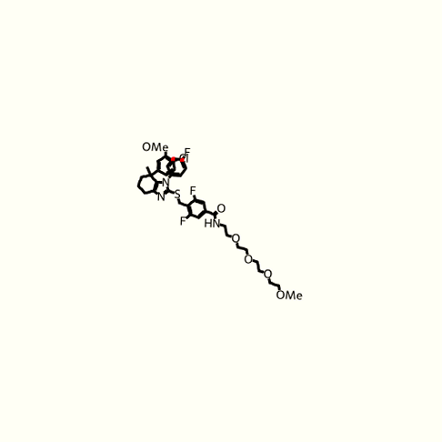 COCCOCCOCCOCCNC(=O)c1cc(F)c(CSc2nc3c(n2-c2ccc(F)cc2)C(C)(c2ccc(Cl)c(OC)c2)CCC3)c(F)c1